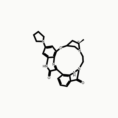 C[C@@H]1CC2CN1CCn1[nH]c3c(cccc3c1=O)-c1nc3c(cc(N4CCCC4)cc3[nH]c1=O)O2